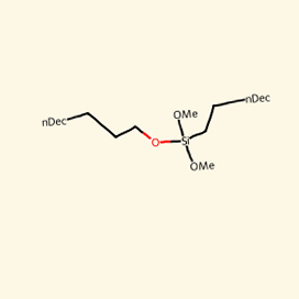 CCCCCCCCCCCCCO[Si](CCCCCCCCCCCC)(OC)OC